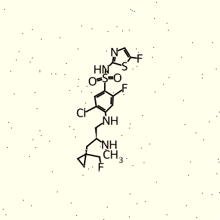 CN[C@H](CNc1cc(F)c(S(=O)(=O)Nc2ncc(F)s2)cc1Cl)CC1(CF)CC1